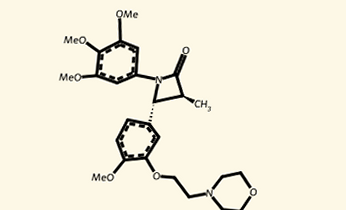 COc1ccc([C@H]2[C@H](C)C(=O)N2c2cc(OC)c(OC)c(OC)c2)cc1OCCN1CCOCC1